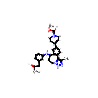 COC(=O)Cc1cccc(NC2CCn3nnc(C)c3-c3ccc(C4=CCN(C(=O)OC(C)(C)C)CC4)cc32)c1